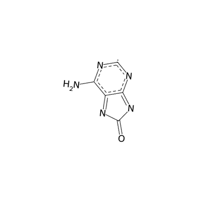 Nc1n[c]nc2c1=NC(=O)N=2